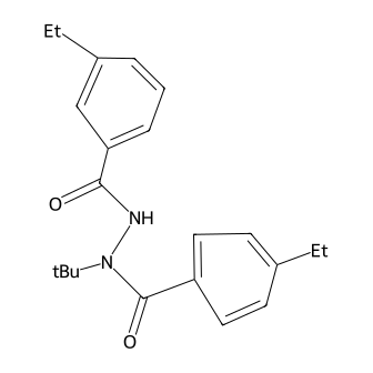 CCc1ccc(C(=O)N(NC(=O)c2cccc(CC)c2)C(C)(C)C)cc1